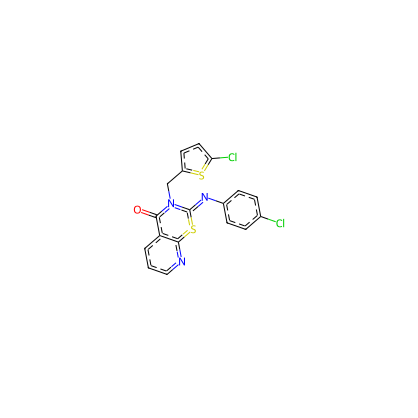 O=c1c2cccnc2sc(=Nc2ccc(Cl)cc2)n1Cc1ccc(Cl)s1